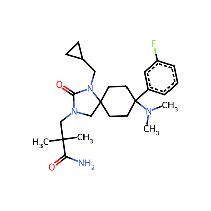 CN(C)C1(c2cccc(F)c2)CCC2(CC1)CN(CC(C)(C)C(N)=O)C(=O)N2CC1CC1